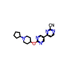 N#Cc1nccc(-c2cnc(OC3CCN(C4CCCC4)CC3)nc2)n1